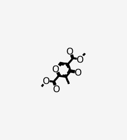 COC(=O)c1occ(C(=O)OC)c(=O)c1C